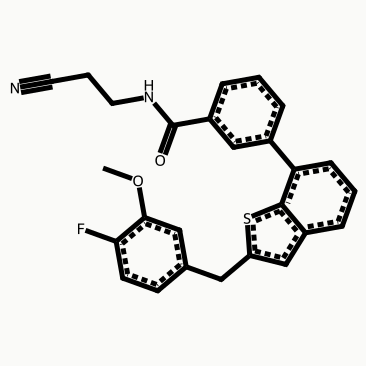 COc1cc(Cc2cc3cccc(-c4cccc(C(=O)NCCC#N)c4)c3s2)ccc1F